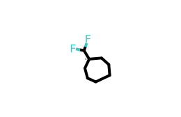 FC(F)[C]1CCCCCC1